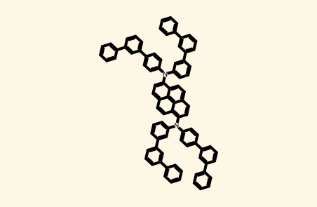 c1ccc(-c2cccc(-c3ccc(N(c4cccc(-c5cccc(-c6ccccc6)c5)c4)c4ccc5ccc6c(N(c7ccc(-c8cccc(-c9ccccc9)c8)cc7)c7cccc(-c8cccc(-c9ccccc9)c8)c7)ccc7ccc4c5c76)cc3)c2)cc1